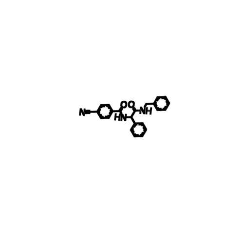 N#Cc1ccc(C(=O)NC(C(=O)NCc2ccccc2)c2ccccc2)cc1